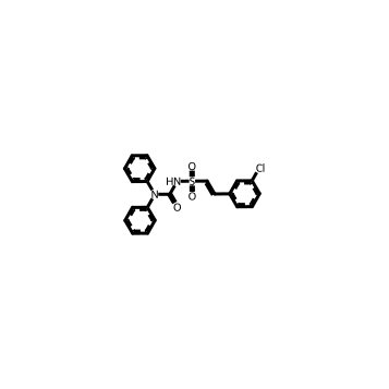 O=C(NS(=O)(=O)C=Cc1cccc(Cl)c1)N(c1ccccc1)c1ccccc1